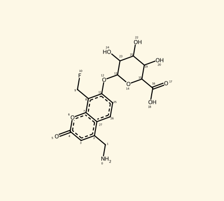 NCc1cc(=O)oc2c(CF)c(OC3OC(C(=O)O)C(O)C(O)C3O)ccc12